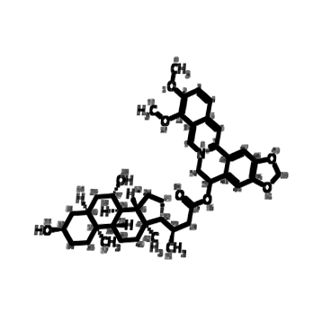 COc1ccc2cc3[n+](cc2c1OC)CC(OC(=O)C[C@@H](C)[C@H]1CC[C@H]2[C@@H]4[C@@H](O)C[C@@H]5C[C@H](O)CC[C@]5(C)[C@H]4CC[C@]12C)c1cc2c(cc1-3)OCO2